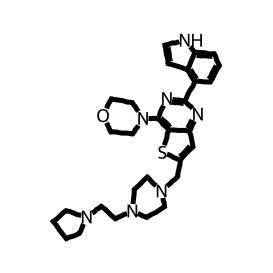 c1cc(-c2nc(N3CCOCC3)c3sc(CN4CCN(CCN5CCCC5)CC4)cc3n2)c2cc[nH]c2c1